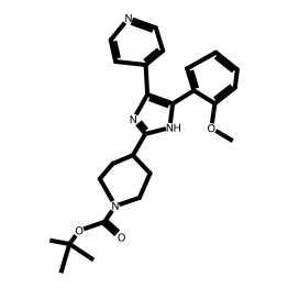 COc1ccccc1-c1[nH]c(C2CCN(C(=O)OC(C)(C)C)CC2)nc1-c1ccncc1